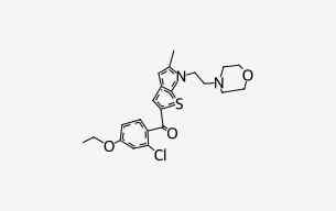 CCOc1ccc(C(=O)c2cc3cc(C)n(CCN4CCOCC4)c3s2)c(Cl)c1